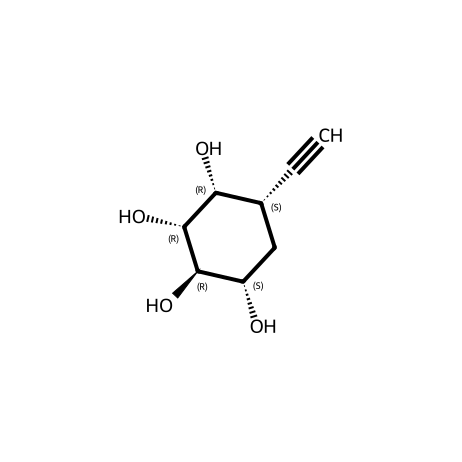 C#C[C@@H]1C[C@H](O)[C@@H](O)[C@H](O)[C@@H]1O